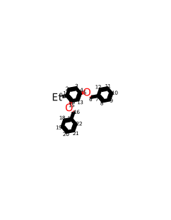 CCc1ccc(OCc2ccccc2)cc1OCc1ccccc1